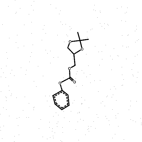 CC1(C)OCC(COC(=O)Oc2ccccc2)O1